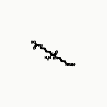 [N-]=[N+]=NCCCNC(=O)[C@H](N)CCCCNC(=O)O